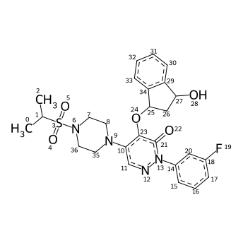 CC(C)S(=O)(=O)N1CCN(c2cnn(-c3cccc(F)c3)c(=O)c2OC2CC(O)c3ccccc32)CC1